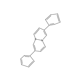 C1=CC(c2ccccc2)=CN2C=CC(c3ccccc3)=CB12